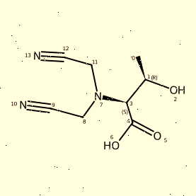 C[C@@H](O)[C@@H](C(=O)O)N(CC#N)CC#N